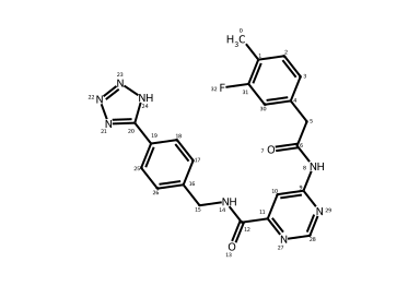 Cc1ccc(CC(=O)Nc2cc(C(=O)NCc3ccc(-c4nnn[nH]4)cc3)ncn2)cc1F